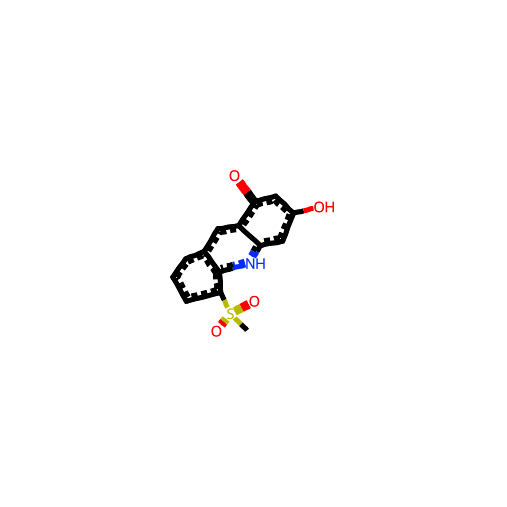 CS(=O)(=O)c1cccc2cc3c(=O)cc(O)cc-3[nH]c12